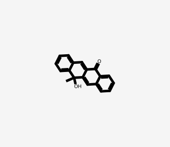 CC1(O)C2=Cc3ccccc3C(=O)C2=Cc2ccccc21